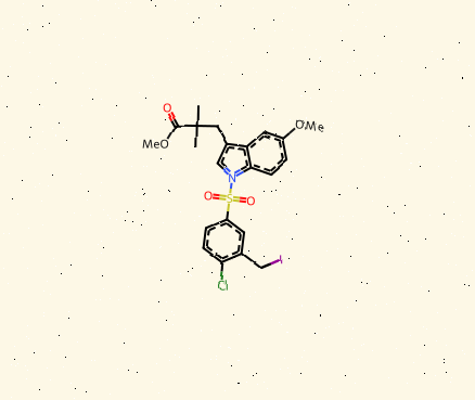 COC(=O)C(C)(C)Cc1cn(S(=O)(=O)c2ccc(Cl)c(CI)c2)c2ccc(OC)cc12